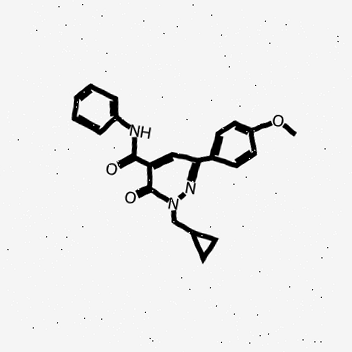 COc1ccc(-c2cc(C(=O)Nc3ccccc3)c(=O)n(CC3CC3)n2)cc1